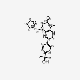 CC(C)(O)c1ccc(-c2cnc3c(n2)N(C[C@@H]2CCCO2)CC(=O)N3)cn1